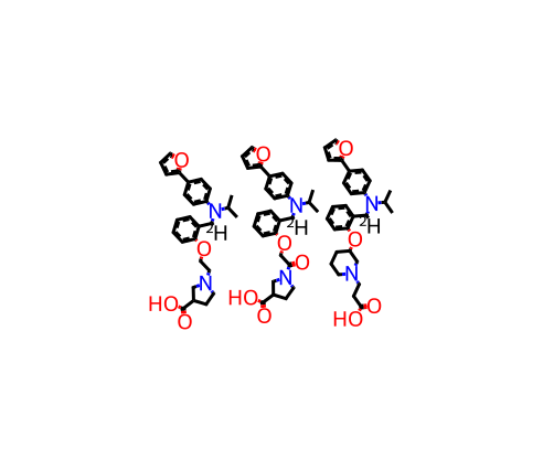 [2H]C(c1ccccc1OC1CCCN(CCC(=O)O)C1)N(c1ccc(-c2ccco2)cc1)C(C)C.[2H]C(c1ccccc1OCC(=O)N1CCC(C(=O)O)C1)N(c1ccc(-c2ccco2)cc1)C(C)C.[2H]C(c1ccccc1OCCN1CCC(C(=O)O)C1)N(c1ccc(-c2ccco2)cc1)C(C)C